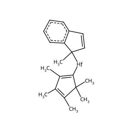 CC1=C(C)C(C)(C)[C]([Hf][C]2(C)C=Cc3ccccc32)=C1C